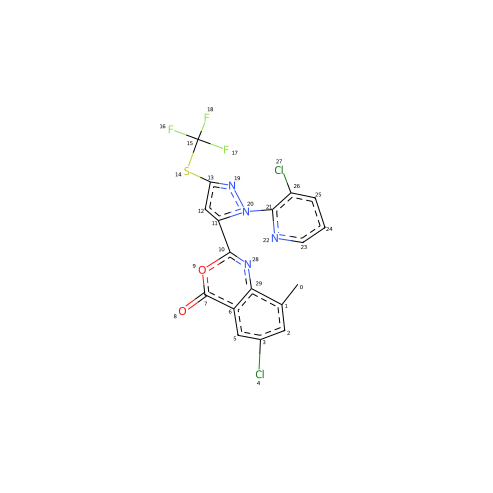 Cc1cc(Cl)cc2c(=O)oc(-c3cc(SC(F)(F)F)nn3-c3ncccc3Cl)nc12